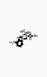 CCCCS(=O)(=O)N(Cn1nnc2c(C)cccc21)S(=O)(=O)CCCC